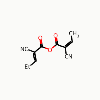 CC=C(C#N)C(=O)OC(=O)C(C#N)=CCC